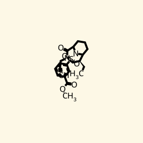 C#CCN1C[C@H](CC)C2CCCC(C1=O)N2S(=O)(=O)c1cccc(C(=O)OC)c1